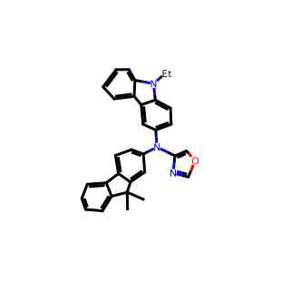 CCn1c2ccccc2c2cc(N(c3ccc4c(c3)C(C)(C)c3ccccc3-4)c3cocn3)ccc21